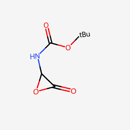 CC(C)(C)OC(=O)NC1OC1=O